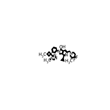 C[C@@H]1CN(Cc2cc3c(c(C4CC4)n2)CN(c2cccc([C@]4(c5nncn5C)C[C@@H](C)C4)c2)C3O)CCC1(F)F